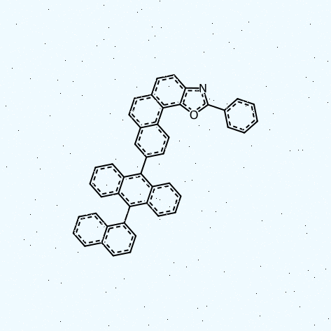 c1ccc(-c2nc3ccc4ccc5cc(-c6c7ccccc7c(-c7cccc8ccccc78)c7ccccc67)ccc5c4c3o2)cc1